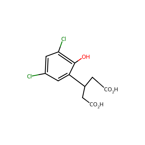 O=C(O)CC(CC(=O)O)c1cc(Cl)cc(Cl)c1O